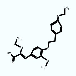 CCOC(=Cc1ccc(OCCc2ccc(OCC)cc2)c(OC)c1)C(=O)O